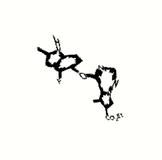 CCOC(=O)c1cn2ncnc(Oc3ccc4[nH]c(C)cc4c3F)c2c1C